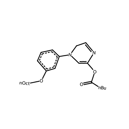 CCCCCCCCOc1cccc(N2C=C(OC(=O)CCCC)N=CC2)c1